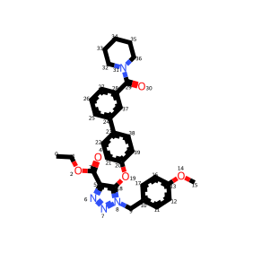 CCOC(=O)c1nnn(Cc2ccc(OC)cc2)c1Oc1ccc(-c2cccc(C(=O)N3CCCCC3)c2)cc1